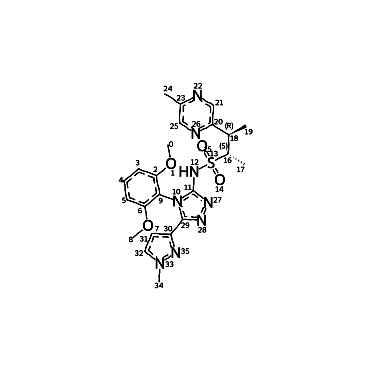 COc1cccc(OC)c1-n1c(NS(=O)(=O)[C@@H](C)[C@H](C)c2cnc(C)cn2)nnc1-c1ccn(C)n1